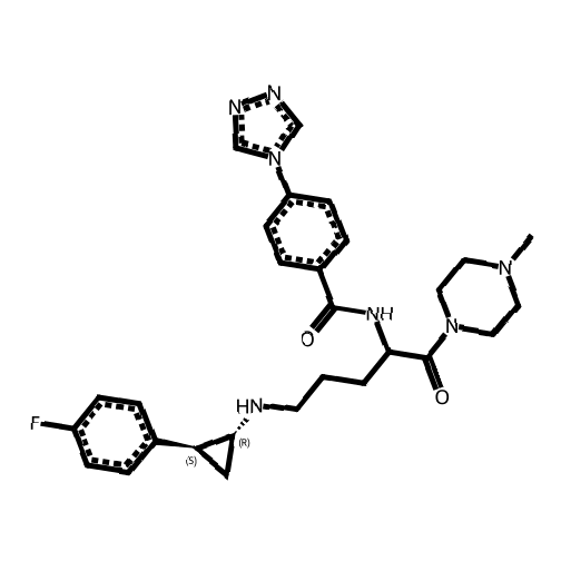 CN1CCN(C(=O)C(CCCN[C@@H]2C[C@H]2c2ccc(F)cc2)NC(=O)c2ccc(-n3cnnc3)cc2)CC1